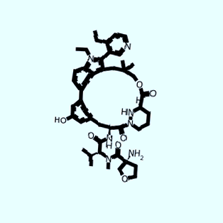 CCc1ccncc1-c1c2c3cc(ccc3n1CC)-c1cc(O)cc(c1)C[C@H](NC(=O)[C@H](C(C)C)N(C)C(=O)[C@@]1(N)CCOC1)C(=O)N1CCC[C@H](N1)C(=O)OCC(C)(C)C2